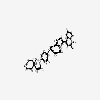 Cc1ccc2nc(C)cc(-c3cnc4cc(-c5ccc(N6CCC7(CCOCC7)C6)nc5)ccn34)c2c1